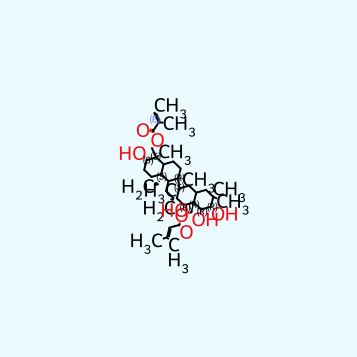 C=CCC1[C@@]2(C=C)CC[C@H](O)[C@](C)(COC(=O)/C(C)=C/C)C2CC[C@@]1(C)[C@@]1(C)CC2CC(C)(C)[C@@H](O)[C@H](O)[C@]2(COC(=O)C=C(C)C)[C@H](O)C1